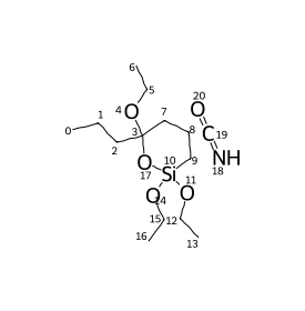 CCCC1(OCC)CCC[Si](OCC)(OCC)O1.N=C=O